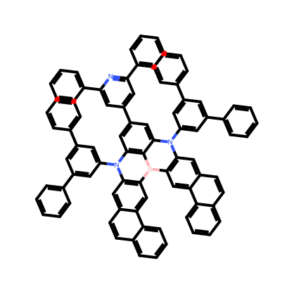 c1ccc(-c2cc(-c3ccccc3)cc(N3c4cc5ccc6ccccc6c5cc4B4c5cc6c(ccc7ccccc76)cc5N(c5cc(-c6ccccc6)cc(-c6ccccc6)c5)c5cc(-c6cc(-c7ccccc7)nc(-c7ccccc7)c6)cc3c54)c2)cc1